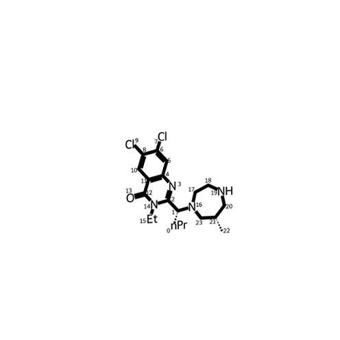 CCC[C@H](c1nc2cc(Cl)c(Cl)cc2c(=O)n1CC)N1CCNC[C@H](C)C1